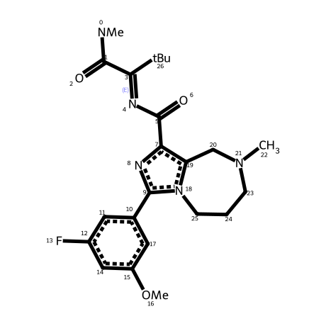 CNC(=O)/C(=N/C(=O)c1nc(-c2cc(F)cc(OC)c2)n2c1CN(C)CCC2)C(C)(C)C